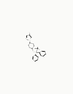 CC(C)(C)[Si](OC1CCC(n2cc(F)cn2)CC1)(c1ccccc1)c1ccccc1